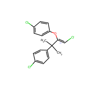 CC(C)(/C(=C/Cl)Oc1ccc(Cl)cc1)c1ccc(Cl)cc1